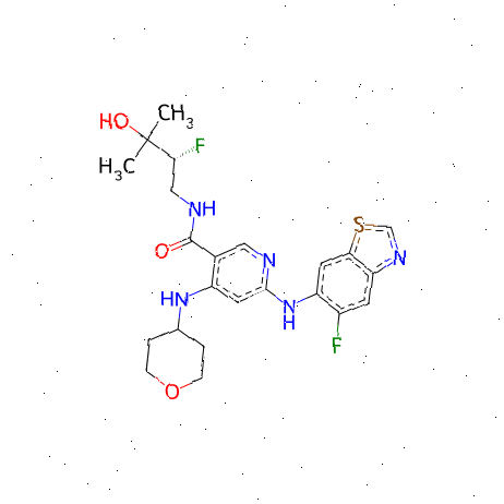 CC(C)(O)[C@H](F)CNC(=O)c1cnc(Nc2cc3scnc3cc2F)cc1NC1CCOCC1